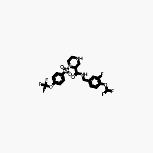 O=C(NCc1ccc(OC(F)F)c(F)c1)C1CNCCN1S(=O)(=O)c1ccc(OC(F)(F)F)cc1